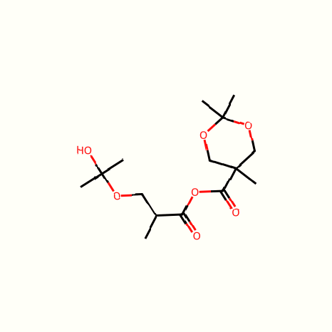 CC(COC(C)(C)O)C(=O)OC(=O)C1(C)COC(C)(C)OC1